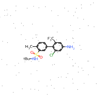 Cc1ccc(-c2c(Cl)cc(N)cc2C(F)(F)F)cc1S(=O)(=O)NC(C)(C)C